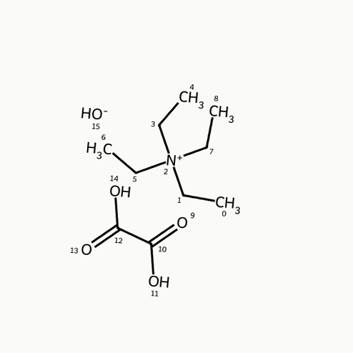 CC[N+](CC)(CC)CC.O=C(O)C(=O)O.[OH-]